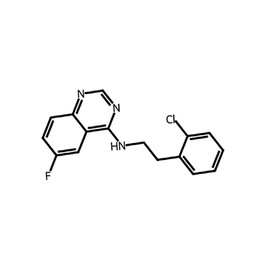 Fc1ccc2ncnc(NCCc3ccccc3Cl)c2c1